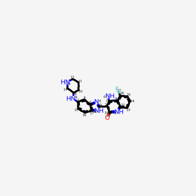 Nc1c(-c2nc3cc(NC4CCCNC4)ccc3[nH]2)c(=O)[nH]c2cccc(F)c12